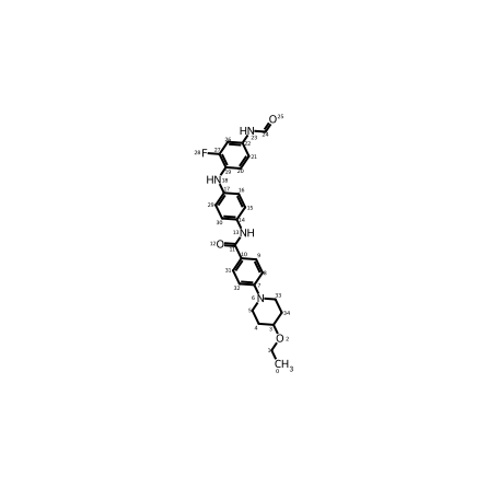 CCOC1CCN(c2ccc(C(=O)Nc3ccc(Nc4ccc(NC=O)cc4F)cc3)cc2)CC1